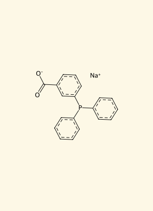 O=C([O-])c1cccc(P(c2ccccc2)c2ccccc2)c1.[Na+]